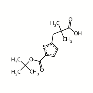 CC(C)(C)OC(=O)c1ccc(CC(C)(C)C(=O)O)s1